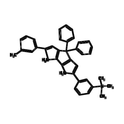 Cc1cccc(C2=CC3=C([SiH2]2)C2=C(C=C(c4cccc([Si](C)(C)C)c4)[SiH2]2)C3(c2ccccc2)c2ccccc2)c1